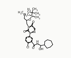 COCC(Cn1c(=O)cnn(-c2ccc(Cl)c(C(=O)NC(O)C3CCCCCC3)c2)c1=O)O[Si](C)(C)C(C)(C)C